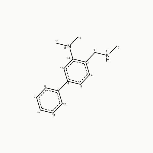 CNCc1ccc(-c2ccccc2)cc1N(C)C